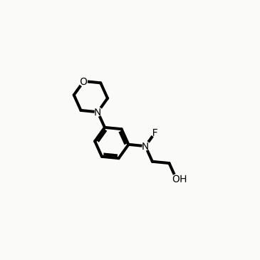 OCCN(F)c1cccc(N2CCOCC2)c1